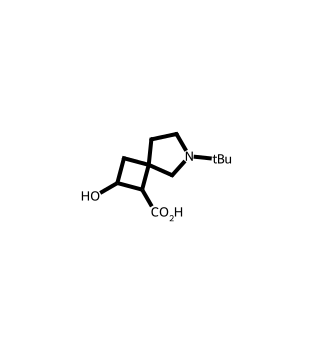 CC(C)(C)N1CCC2(CC(O)C2C(=O)O)C1